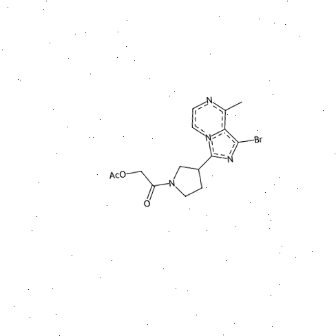 CC(=O)OCC(=O)N1CCC(c2nc(Br)c3c(C)nccn23)C1